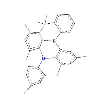 Cc1ccc(N2c3c(C)cc(C)cc3B3c4ccccc4C(C)(C)c4c(C)cc(C)c2c43)cc1